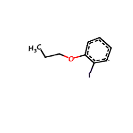 CCCOc1ccc[c]c1I